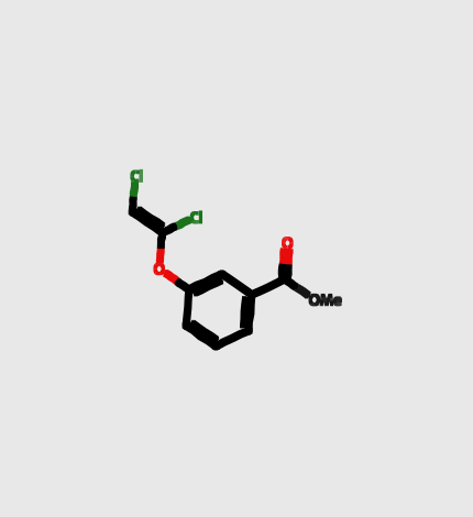 COC(=O)c1cccc(OC(Cl)=CCl)c1